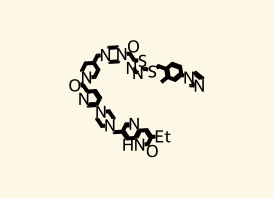 CCc1cc2ncc(CN3CCN(c4ccc(C(=O)N5CCC(CN6CCN(C(=O)c7nnc(SCc8ccc(-n9ccnc9)cc8C)s7)CC6)CC5)nc4)CC3)cc2[nH]c1=O